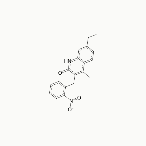 CCc1ccc2c(C)c(Cc3ccccc3[N+](=O)[O-])c(=O)[nH]c2c1